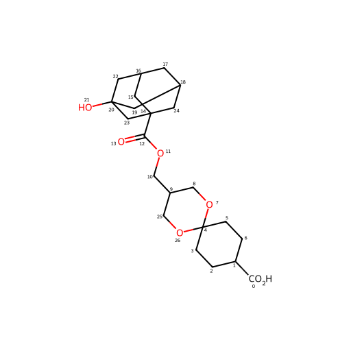 O=C(O)C1CCC2(CC1)OCC(COC(=O)C13CC4CC(CC(O)(C4)C1)C3)CO2